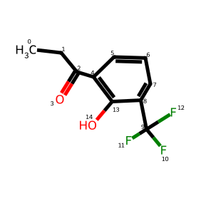 CCC(=O)c1cccc(C(F)(F)F)c1O